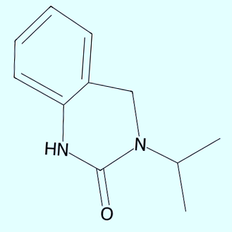 CC(C)N1Cc2ccccc2NC1=O